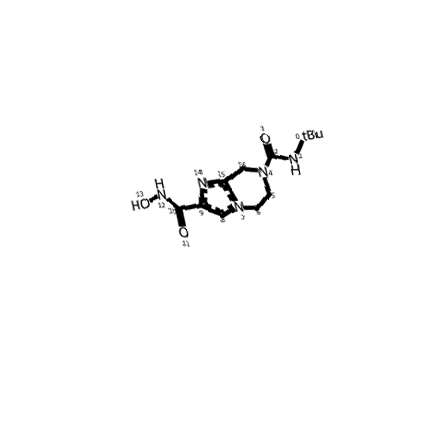 CC(C)(C)NC(=O)N1CCn2cc(C(=O)NO)nc2C1